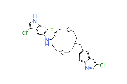 Fc1cc2[nH]cc(Cl)c2cc1NC1CCCCCCC(Cc2ccc3ncc(Cl)cc3c2)CCCCC1